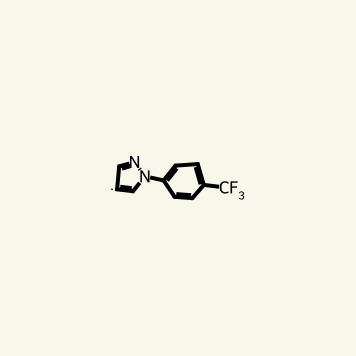 FC(F)(F)c1ccc(-n2c[c]cn2)cc1